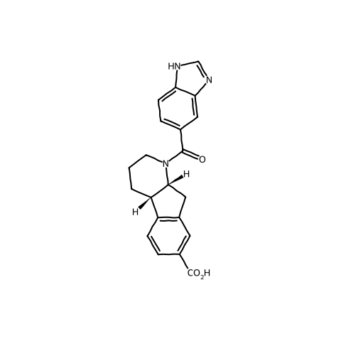 O=C(O)c1ccc2c(c1)C[C@@H]1[C@H]2CCCN1C(=O)c1ccc2[nH]cnc2c1